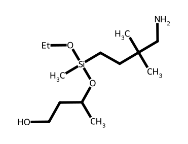 CCO[Si](C)(CCC(C)(C)CN)OC(C)CCO